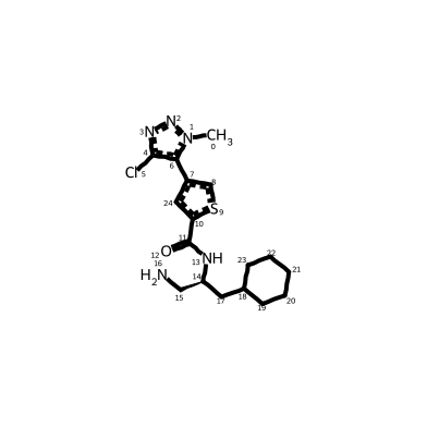 Cn1nnc(Cl)c1-c1csc(C(=O)N[C@H](CN)CC2CCCCC2)c1